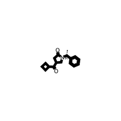 C[C@H](c1ccccc1)N1CC(C(=O)C2CCC2)CC1=O